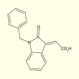 O=C(O)/C=C1/C(=O)N(Cc2ccccc2)c2ccccc21